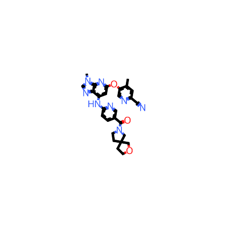 Cc1cc(C#N)ncc1Oc1cc(Nc2ccc(C(=O)N3CCC4(CCOC4)C3)cn2)c2ncn(C)c2n1